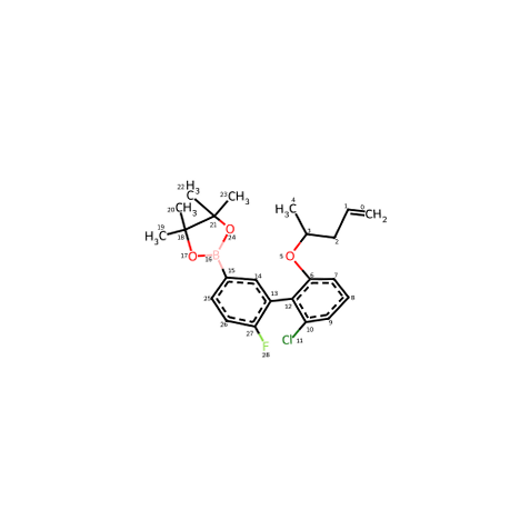 C=CCC(C)Oc1cccc(Cl)c1-c1cc(B2OC(C)(C)C(C)(C)O2)ccc1F